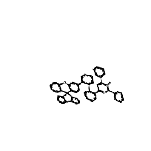 CN1C(c2ccccc2)=CC(c2ccccc2-c2ccccc2-c2ccc3c(c2)Oc2ccccc2C32c3ccccc3-c3ccccc32)=NC1c1ccccc1